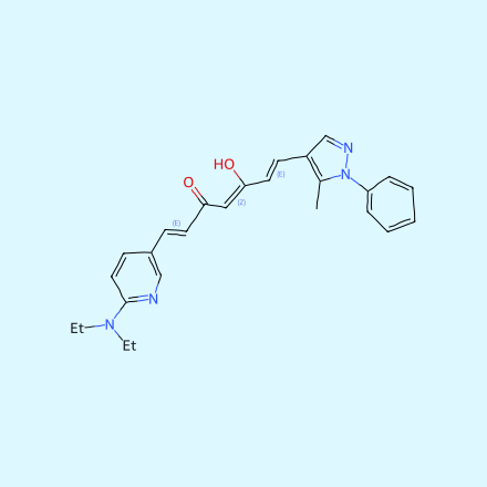 CCN(CC)c1ccc(/C=C/C(=O)/C=C(O)/C=C/c2cnn(-c3ccccc3)c2C)cn1